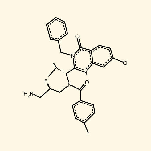 Cc1ccc(C(=O)N(C[C@H](F)CN)[C@@H](c2nc3cc(Cl)ccc3c(=O)n2Cc2ccccc2)C(C)C)cc1